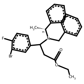 CCOC(=O)CC(c1ccc(F)c(Br)c1)N(Cc1ccccc1)[C@H](C)c1ccccc1